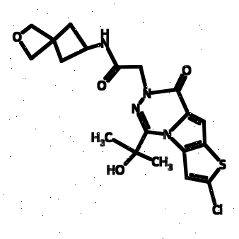 CC(C)(O)c1nn(CC(=O)NC2CC3(COC3)C2)c(=O)c2cc3sc(Cl)cc3n12